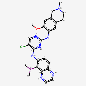 COc1cc2c(cc1Nc1ncc(Br)c(Nc3ccc4nccnc4c3P(C)C)n1)CCN(C)C2